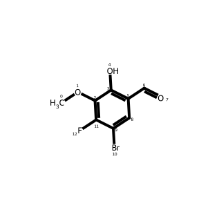 COc1c(O)c(C=O)cc(Br)c1F